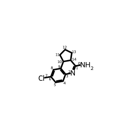 NC1=Nc2ccc(Cl)cc2C2CCCC12